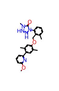 COc1cccc(-c2cc(C)c(OCc3c(C)cccc3N3NNN(C)C3=O)cc2C)n1